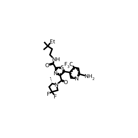 CCC(C)(C)CCNC(=O)c1nc(C(=O)N2CC(F)(F)C[C@@H]2C)c(-c2cnc(N)cc2C(F)(F)F)s1